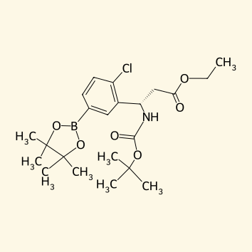 CCOC(=O)C[C@H](NC(=O)OC(C)(C)C)c1cc(B2OC(C)(C)C(C)(C)O2)ccc1Cl